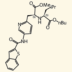 CCCCOC(=O)[C@H](CC(C)C)N[C@@H](Cc1ccc(NC(=O)c2cc3ccccc3s2)cn1)C(=O)OC